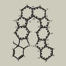 CC12C=CC=CC1Sc1cc3c(cc12)sc1ccc2ccc4sc5cc6c(cc5c4c2c13)sc1ccccc16